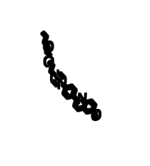 CCCOCCOCCN1CCN(c2ccc(-c3ccc4cc(OC)ccc4n3)cc2)CC1